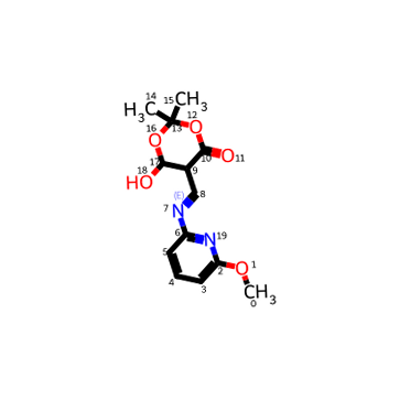 COc1cccc(/N=C/C2C(=O)OC(C)(C)OC2O)n1